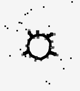 O=C1CCCCC(=O)CCC(=O)NCC(=O)CC1